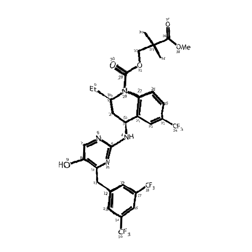 CC[C@@H]1C[C@H](Nc2ncc(O)c(Cc3cc(C(F)(F)F)cc(C(F)(F)F)c3)n2)c2cc(C(F)(F)F)ccc2N1C(=O)OCC(C)(C)C(=O)OC